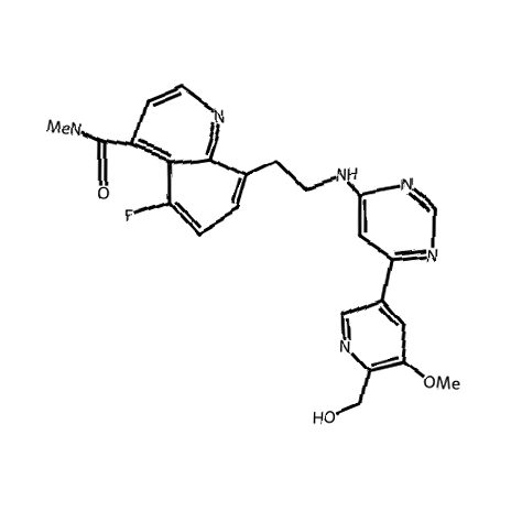 CNC(=O)c1ccnc2c(CCNc3cc(-c4cnc(CO)c(OC)c4)ncn3)ccc(F)c12